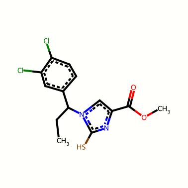 CCC(c1ccc(Cl)c(Cl)c1)n1cc(C(=O)OC)nc1S